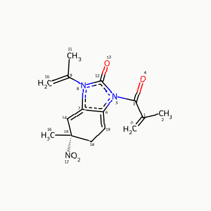 C=C(C)C(=O)n1c2c(n(C(=C)C)c1=O)=C[C@@](C)([N+](=O)[O-])CC=2